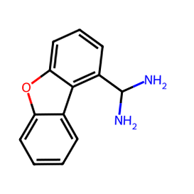 NC(N)c1cccc2oc3ccccc3c12